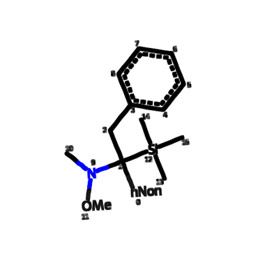 CCCCCCCCCC(Cc1ccccc1)(N(C)OC)[Si](C)(C)C